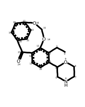 CCc1c(C2CNCCO2)ccc2c1OCOc1ccc(cc1)C2=O